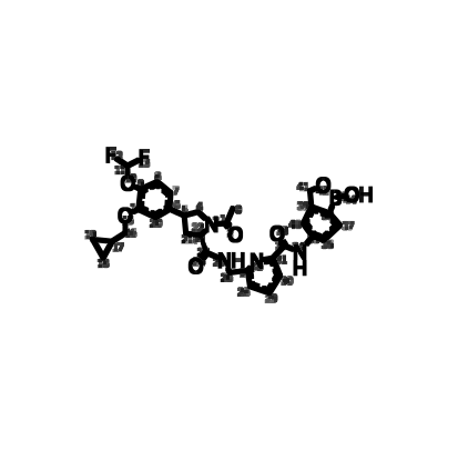 CC(=O)N1CC(c2ccc(OC(F)F)c(OCC3CC3)c2)C[C@@H]1C(=O)NCc1cccc(C(=O)Nc2ccc3c(c2)COB3O)n1